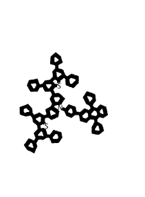 c1ccc(-c2cc(-c3ccccc3)c3sc4c(-c5ccc6c(c5)c5cc(-c7cc(-c8ccccc8)cc8c7sc7c(-c9ccccc9)cc(-c9ccccc9)cc78)ccc5n6-c5ccc(-c6ccc7c(-c8ccccc8)c8ccccc8c(-c8ccccc8)c7c6)cc5)cc(-c5ccccc5)cc4c3c2)cc1